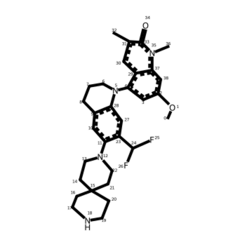 COc1cc(N2CCCc3cc(N4CCC5(CCNCC5)CC4)c(C(F)F)cc32)c2cc(C)c(=O)n(C)c2c1